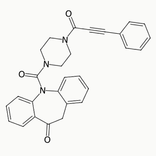 O=C1Cc2ccccc2N(C(=O)N2CCN(C(=O)C#Cc3ccccc3)CC2)c2ccccc21